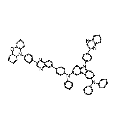 C1=CC2Oc3ccccc3N(c3ccc(-c4cnc5cc(-c6ccc(N(c7ccccc7)c7ccc8c(c7)c7cc(N(c9ccccc9)c9ccccc9)ccc7n8-c7ccc(-c8cnc9ccccc9n8)cc7)cc6)ccc5n4)cc3)C2C=C1